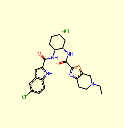 CCN1CCc2nc(C(=O)N[C@@H]3CCCC[C@@H]3NC(=O)c3cc4cc(Cl)ccc4[nH]3)sc2C1.Cl